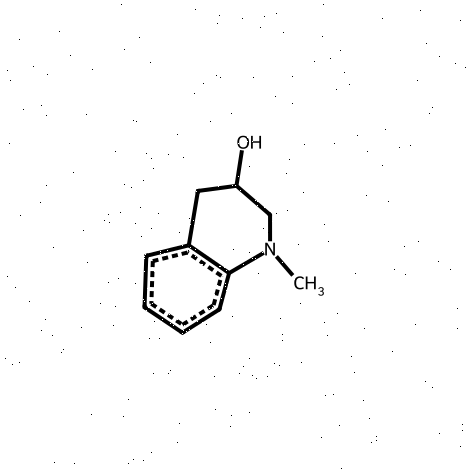 CN1CC(O)Cc2ccccc21